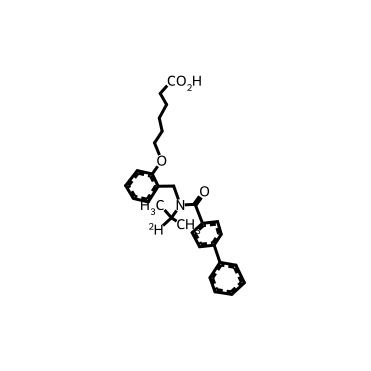 [2H]C(C)(C)N(Cc1ccccc1OCCCCCC(=O)O)C(=O)c1ccc(-c2ccccc2)cc1